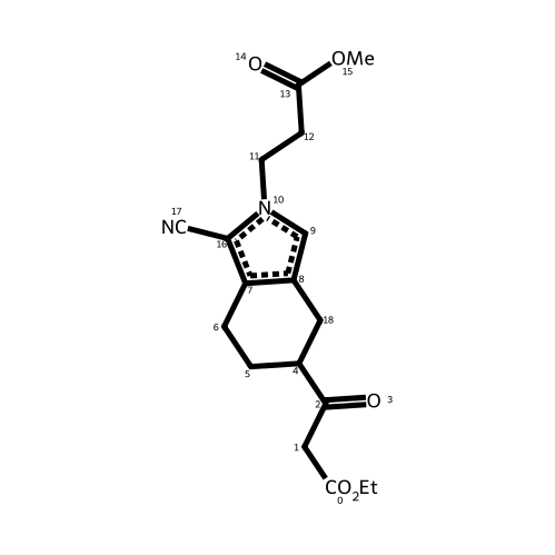 CCOC(=O)CC(=O)C1CCc2c(cn(CCC(=O)OC)c2C#N)C1